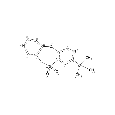 CC(C)(C)c1cc2c(cn1)Oc1ccncc1CS2(=O)=O